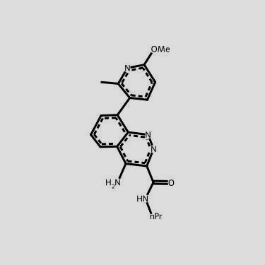 CCCNC(=O)c1nnc2c(-c3ccc(OC)nc3C)cccc2c1N